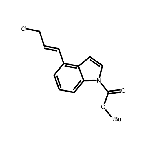 CC(C)(C)OC(=O)n1ccc2c(C=CCCl)cccc21